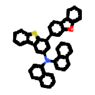 c1ccc2c(N(c3cc(-c4ccc5c(c4)oc4ccccc45)c4sc5ccccc5c4c3)c3cccc4ccccc34)cccc2c1